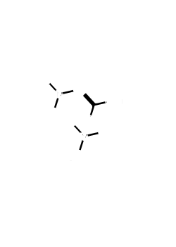 C=C(CC)C(=O)O.CN(C)C.CN(C)C.Cl